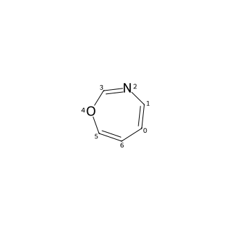 C1=CN=COC=C1